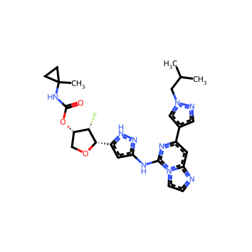 CC(C)Cn1cc(-c2cc3nccn3c(Nc3cc([C@@H]4OC[C@H](OC(=O)NC5(C)CC5)[C@@H]4F)[nH]n3)n2)cn1